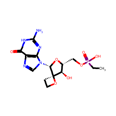 CCP(=O)(O)OC[C@H]1O[C@@H](n2cnc3c(=O)[nH]c(N)nc32)[C@@]2(CCO2)[C@@H]1O